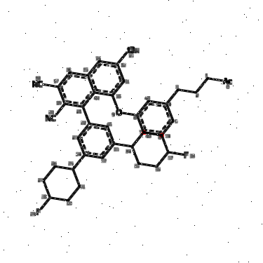 CC(=O)CCCc1cccc(Oc2cc(C(C)(C)C)cc3cc(C#N)c(C#N)c(-c4cc(C5CCC(F)CC5)cc(C5CCC(F)CC5)c4)c23)c1